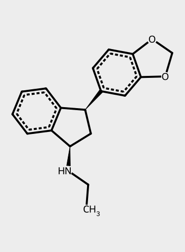 CCN[C@@H]1C[C@H](c2ccc3c(c2)OCO3)c2ccccc21